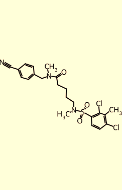 Cc1c(Cl)ccc(S(=O)(=O)N(C)CCCCC(=O)N(C)Cc2ccc(C#N)cc2)c1Cl